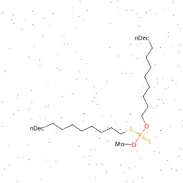 CCCCCCCCCCCCCCCCCCOP(=S)([O][Mo])SCCCCCCCCCCCCCCCCCC